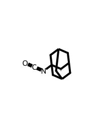 O=C=NC12[CH]C3CC(CC(C3)C1)C2